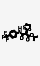 CC(C)OC(=O)C(C(=O)Nc1ccc(C(F)(F)F)cc1)=C1SCCS1